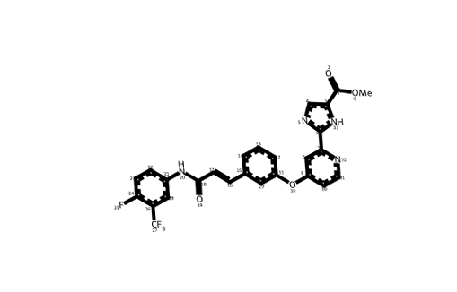 COC(=O)c1cnc(-c2cc(Oc3cccc(/C=C/C(=O)Nc4ccc(F)c(C(F)(F)F)c4)c3)ccn2)[nH]1